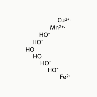 [Cu+2].[Fe+2].[Mn+2].[OH-].[OH-].[OH-].[OH-].[OH-].[OH-]